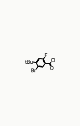 CC(C)(C)c1cc(F)c(C(=O)Cl)cc1Br